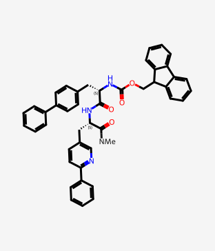 CNC(=O)[C@H](Cc1ccc(-c2ccccc2)nc1)NC(=O)[C@H](Cc1ccc(-c2ccccc2)cc1)NC(=O)OCC1c2ccccc2-c2ccccc21